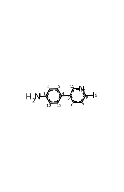 Nc1ccc(-c2ccc(I)nc2)cc1